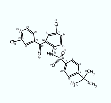 CC(C)(C)c1ccc(S(=O)(=O)Nc2ccc(Cl)cc2C(=O)c2ccnc(Cl)c2)cc1